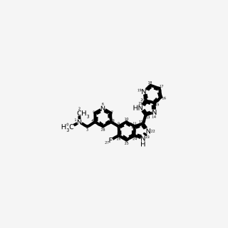 CN(C)Cc1cncc(-c2cc3c(-c4nc5cccnc5[nH]4)n[nH]c3cc2F)c1